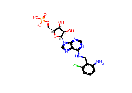 Nc1cccc(Cl)c1CNc1ncnc2c1ncn2[C@@H]1O[C@H](COP(=O)(O)O)[C@@H](O)[C@H]1O